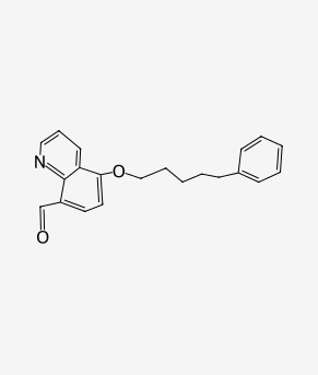 O=Cc1ccc(OCCCCCc2ccccc2)c2cccnc12